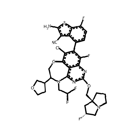 N#Cc1c(N)sc2c(F)ccc(-c3c(Cl)c4c5c(nc(OC[C@@]67CCCN6C[C@H](F)C7)nc5c3F)N(CC(F)F)C(C3CCOC3)CO4)c12